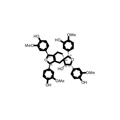 COc1ccc([C@@H]2O[C@H](c3ccc(O)c(OC)c3)[C@H](O)[C@]23CCC2=C(C3)[C@@H](c3ccc(O)c(OC)c3)O[C@H]2c2ccc(O)c(OC)c2)cc1O